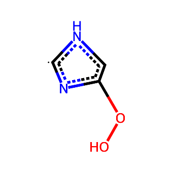 OOc1c[nH][c]n1